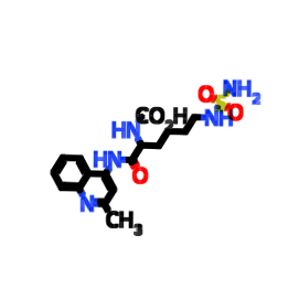 Cc1cc(NC(=O)C(CCCCNS(N)(=O)=O)NC(=O)O)c2ccccc2n1